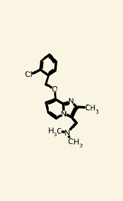 Cc1nc2c(OCc3ccccc3Cl)cccn2c1CN(C)C